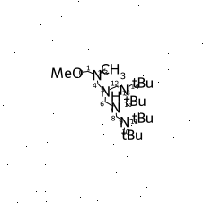 COCN(C)CN(CNCN(C(C)(C)C)C(C)(C)C)CN(C(C)(C)C)C(C)(C)C